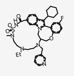 CCN1CCN(Cc2cccnc2)C2COc3ccc(F)cc3-c3c(C4CCCCC4)c4ccc(cc4n3C2)C(=O)NS(=O)(=O)N(C)CC1